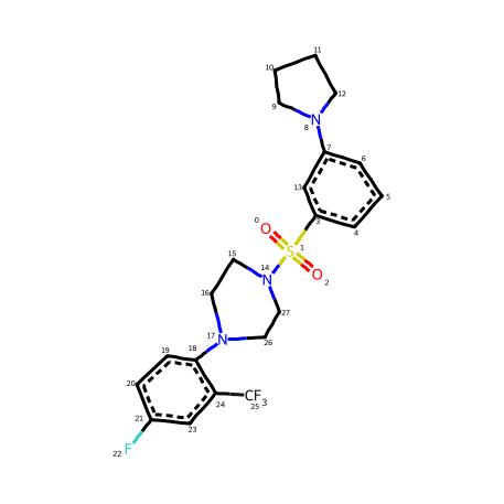 O=S(=O)(c1cccc(N2CCCC2)c1)N1CCN(c2ccc(F)cc2C(F)(F)F)CC1